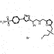 CC(C)C(CNCc1ccc(C[N+](C)(C)CCF)o1)n1cc(-c2ccc(S(N)(=O)=O)cc2)nn1.[Br-]